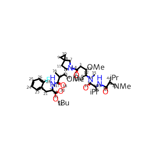 CCC(C)C(C(CC(=O)N1CC2(CC2)C[C@H]1C(OC)C(C)C(=O)NC(Cc1ccccc1F)C(=O)OC(C)(C)C)OC)N(C)C(=O)C(NC(=O)C(NC)C(C)C)C(C)C